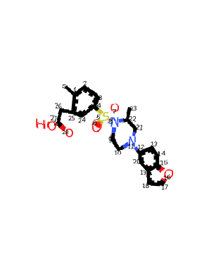 Cc1ccc(S(=O)(=O)N2CCN(c3ccc4occc4c3)CC2C)cc1CC(=O)O